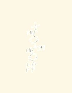 CC(C)(C)SNC1=CC=C(C(O)NC2=CC=C(OC(F)(F)F)CC2)CC1